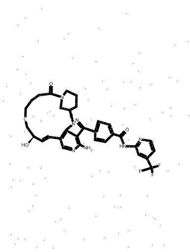 Nc1ncc2c3c1c(-c1ccc(C(=O)Nc4cc(C(F)(F)F)ccn4)cc1)nn3[C@@H]1CCCN(C1)C(=O)CCCCC[C@H](O)/C=C/2